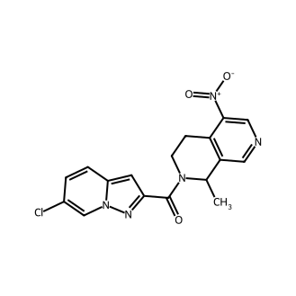 CC1c2cncc([N+](=O)[O-])c2CCN1C(=O)c1cc2ccc(Cl)cn2n1